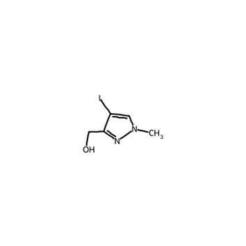 Cn1cc(I)c(CO)n1